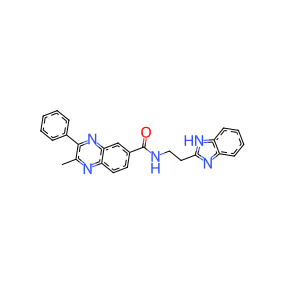 Cc1nc2ccc(C(=O)NCCc3nc4ccccc4[nH]3)cc2nc1-c1ccccc1